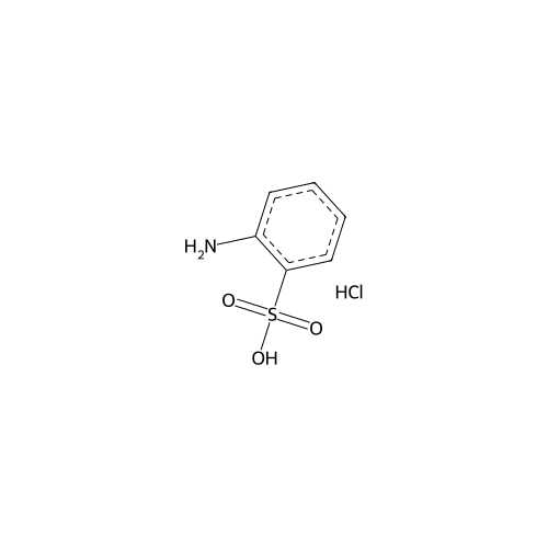 Cl.Nc1ccccc1S(=O)(=O)O